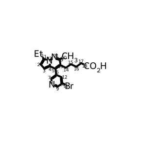 CCc1ccc2c(-c3cncc(Br)c3)c(CCCCC(=O)O)c(C)nn12